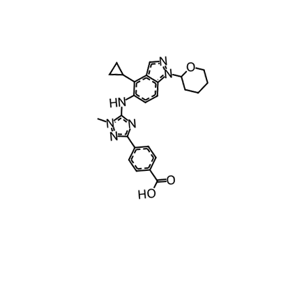 Cn1nc(-c2ccc(C(=O)O)cc2)nc1Nc1ccc2c(cnn2C2CCCCO2)c1C1CC1